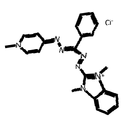 Cn1ccc(=NN=C(N=Nc2n(C)c3ccccc3[n+]2C)c2ccccc2)cc1.[Cl-]